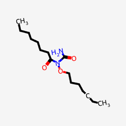 CCCCCCCON(C(N)=O)C(=O)CCCCCCC